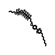 CCCCCCCCc1cnc(-c2ccc(OCCCC(F)(F)C(F)(F)C(F)(F)C(F)(F)C(F)(F)OC(F)(F)C(F)(F)OCCCC)cc2)nc1